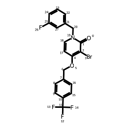 O=c1c(Br)c(OCc2ccc(C(F)(F)F)cc2)ccn1Cc1cccc(F)c1